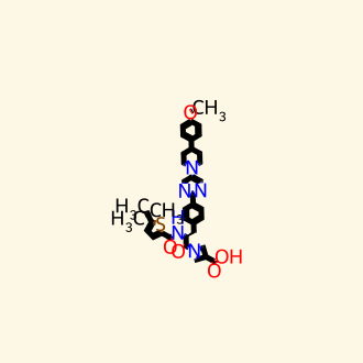 COc1ccc(C2CCN(c3cnc(-c4ccc(C[C@H](NC(=O)c5ccc(C(C)(C)C)s5)C(=O)N5CC(C(=O)O)C5)cc4)nc3)CC2)cc1